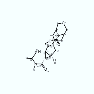 COC(=O)N1C2COCC1CC(N1C[C@@H]3[C@H](C1)[C@H]3C(=O)N(C)C(C)C)C2